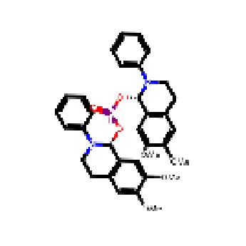 COc1cc2c(cc1OC)[C@H](O[PH](=O)O[C@H]1c3cc(OC)c(OC)cc3CCN1c1ccccc1)N(c1ccccc1)CC2